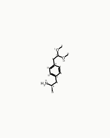 COC(Cc1ccc(C[C@@H](C)N)cc1)OC